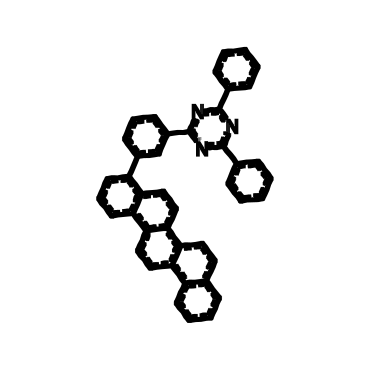 c1ccc(-c2nc(-c3ccccc3)nc(-c3cccc(-c4cccc5c4ccc4c5ccc5c6ccccc6ccc54)c3)n2)cc1